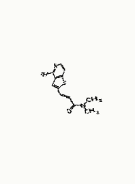 [2H]c1nccc2sc(/C=C/C(=O)N(C)C)cc12